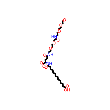 O=CCOCCOCCNC(=O)COCCOCCNC(=O)CCC(NC(=O)CCCCCCCCCCCCC(=O)O)C(=O)O